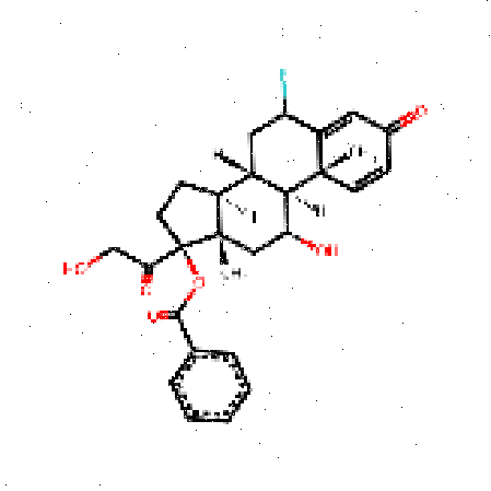 C[C@]12C=CC(=O)C=C1C(F)C[C@@H]1[C@@H]2[C@@H](O)C[C@@]2(C)[C@H]1CC[C@@]2(OC(=O)c1ccccc1)C(=O)CO